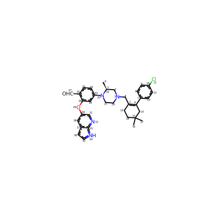 C[C@H]1CN(CC2=C(c3ccc(Cl)cc3)CC(C)(C)CC2)CCN1c1ccc(C=O)c(Oc2cnc3[nH]ccc3c2)c1